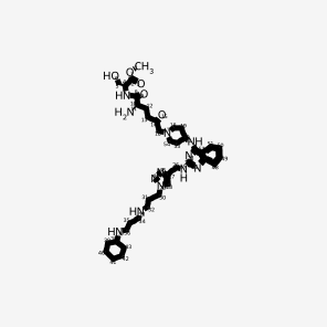 COC(=O)[C@H](CO)NC(=O)[C@@H](N)CCC(=O)CN1CCC(Nc2nc(NCc3cn(CCCNCCCNC4CCCCC4)nn3)nc3ccccc23)CC1